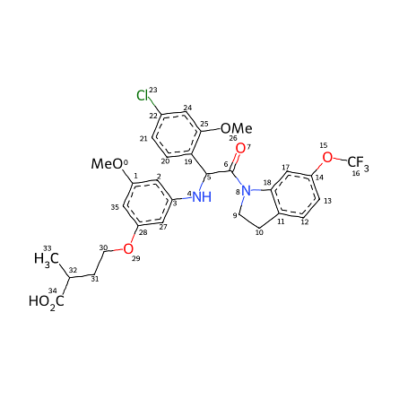 COc1cc(NC(C(=O)N2CCc3ccc(OC(F)(F)F)cc32)c2ccc(Cl)cc2OC)cc(OCCC(C)C(=O)O)c1